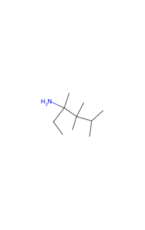 CCC(C)(N)C(C)(C)C(C)C